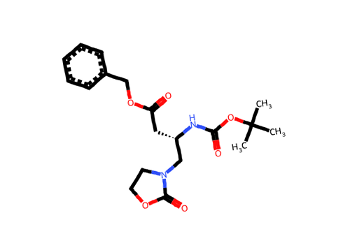 CC(C)(C)OC(=O)N[C@@H](CC(=O)OCc1ccccc1)CN1CCOC1=O